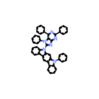 c1ccc(-c2nc(-c3ccccc3)c3c(n2)nc(-n2c4ccccc4c4cc5c6ccccc6n(-c6ccccc6)c5cc42)n3-c2ccccc2)cc1